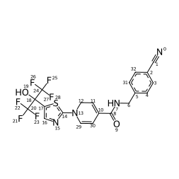 N#Cc1ccc(CNC(=O)C2=CCN(c3ncc(C(O)(C(F)(F)F)C(F)(F)F)s3)C=C2)cc1